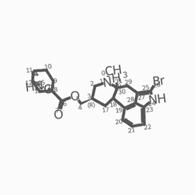 CN1C[C@H](COC(=O)C23CCC(CC2)CNC3)CC2c3cccc4[nH]c(Br)c(c34)C[C@H]21